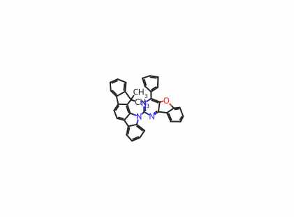 CC1(C)c2ccccc2-c2ccc3c4ccccc4n(-c4nc(-c5ccccc5)c5oc6ccccc6c5n4)c3c21